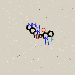 CC(C)(C)c1cc2cc[nH]c2cc1NC(=O)c1c[nH]c2c(F)cccc2c1=O